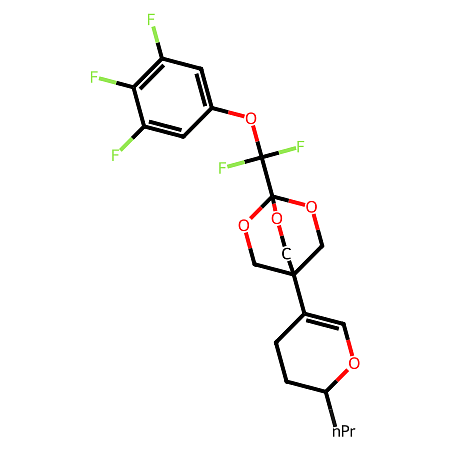 CCCC1CCC(C23COC(C(F)(F)Oc4cc(F)c(F)c(F)c4)(OC2)OC3)=CO1